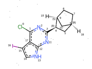 Clc1nc([C@@H]2C[C@@H]3CC[C@H]2C3)nc2[nH]cc(I)c12